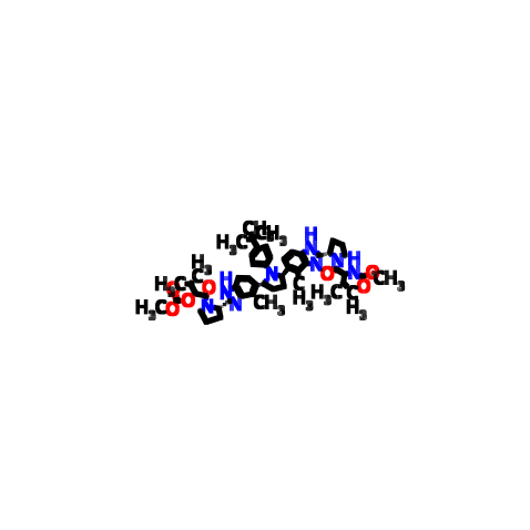 COC(=O)NC(C(=O)N1CCC[C@H]1c1nc2c(C)c([C@H]3CC[C@H](c4ccc5[nH]c([C@@H]6CCCN6C(=O)C(OC(=O)OC)C(C)C)nc5c4C)N3c3ccc(C(C)(C)C)cc3)ccc2[nH]1)C(C)C